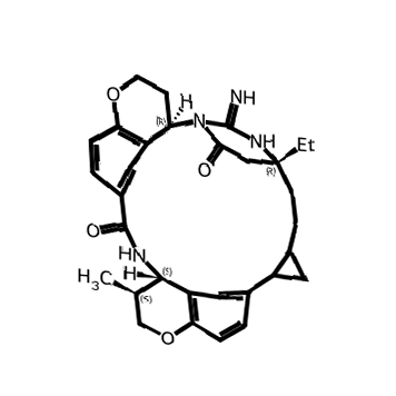 CC[C@]12CCC3CC3c3ccc4c(c3)[C@@H](NC(=O)c3ccc5c(c3)[C@@H](CCO5)N(C(=N)N1)C(=O)C2)[C@H](C)CO4